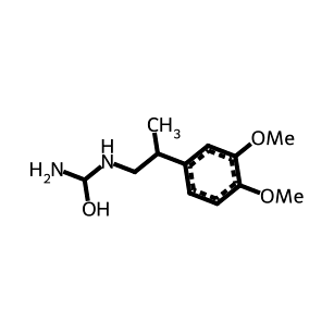 COc1ccc(C(C)CNC(N)O)cc1OC